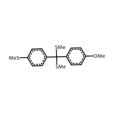 COc1ccc(C(SC)(SC)c2ccc(SC)cc2)cc1